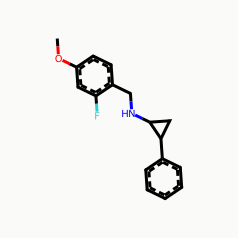 COc1ccc(CNC2CC2c2ccccc2)c(F)c1